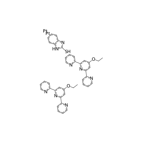 CCOc1cc(-c2ccccn2)nc(-c2ccccn2)c1.CCOc1cc(-c2ccccn2)nc(-c2ccccn2)c1.Sc1nc2ccccc2[nH]1.[Pt].[Pt]